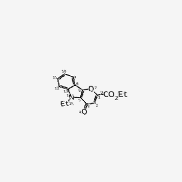 CCOC(=O)c1cc(=O)c2c(o1)c1ccccc1n2CC